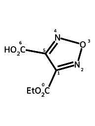 CCOC(=O)c1nonc1C(=O)O